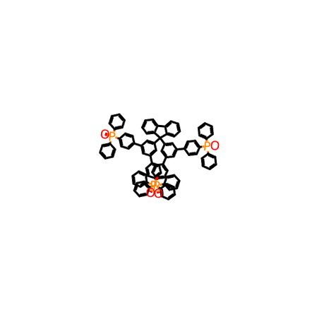 O=P(c1ccccc1)(c1ccccc1)c1ccc(-c2cc(-c3ccc(P(=O)(c4ccccc4)c4ccccc4)cc3)cc(C3(c4cc(-c5ccc(P(=O)(c6ccccc6)c6ccccc6)cc5)cc(-c5ccc(P(=O)(c6ccccc6)c6ccccc6)cc5)c4)c4ccccc4-c4ccccc43)c2)cc1